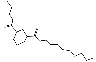 CCCCCCCCCOC(=O)C1CCCC(C(=O)OCCC)C1